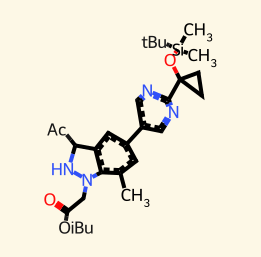 CC(=O)C1NN(CC(=O)OCC(C)C)c2c(C)cc(-c3cnc(C4(O[Si](C)(C)C(C)(C)C)CC4)nc3)cc21